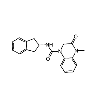 CN1C(=O)CN(C(=O)NC2Cc3ccccc3C2)c2ccccc21